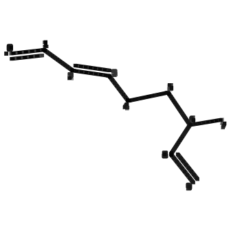 [CH]=CC=CCCC(C)C=C